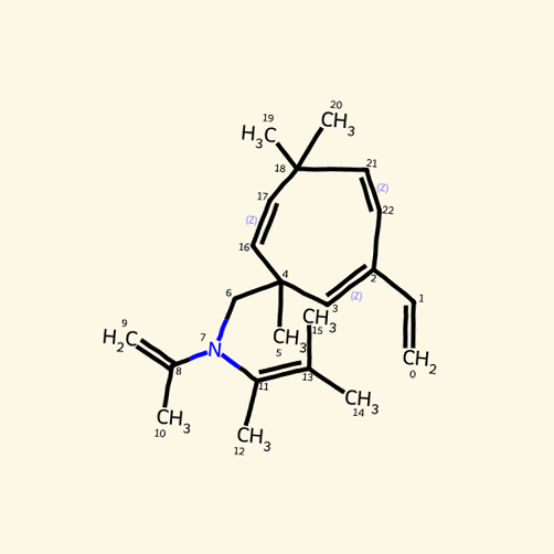 C=CC1=C/C(C)(CN(C(=C)C)C(C)=C(C)C)/C=C\C(C)(C)/C=C\1